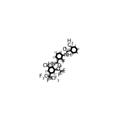 Cc1ccccc1C(=O)Nc1cccc(C(=O)Nc2c(Cl)cc(C(F)(C(F)(F)F)C(F)(F)F)cc2OC(F)F)c1F